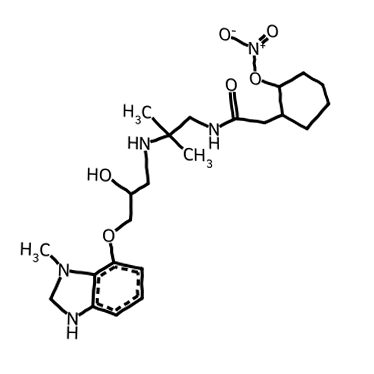 CN1CNc2cccc(OCC(O)CNC(C)(C)CNC(=O)CC3CCCCC3O[N+](=O)[O-])c21